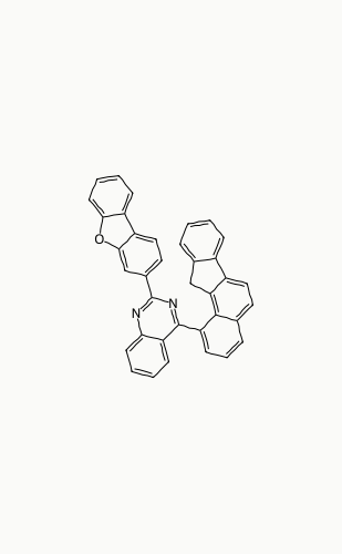 c1ccc2c(c1)Cc1c-2ccc2cccc(-c3nc(-c4ccc5c(c4)oc4ccccc45)nc4ccccc34)c12